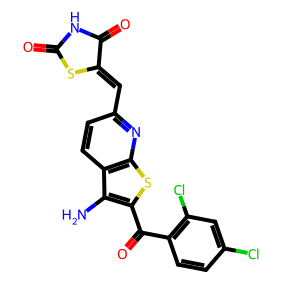 Nc1c(C(=O)c2ccc(Cl)cc2Cl)sc2nc(/C=C3\SC(=O)NC3=O)ccc12